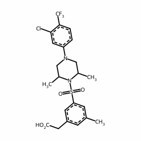 Cc1cc(CC(=O)O)cc(S(=O)(=O)N2C(C)CN(c3ccc(C(F)(F)F)c(Cl)c3)CC2C)c1